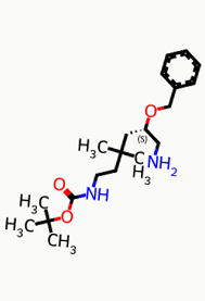 CC(C)(CCNC(=O)OC(C)(C)C)C[C@@H](CN)OCc1ccccc1